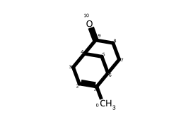 CC1=CCC2CC1CCC2=O